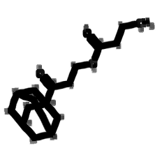 CCCC(=O)OCCC(=O)C12CC3CC(CC(C3)C1)C2